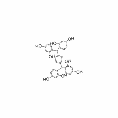 Oc1ccc(C(c2ccc(C(c3ccc(O)cc3O)c3ccc(O)cc3O)cc2)c2ccc(O)cc2O)c(O)c1